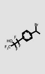 CC(Br)c1ccc(C(F)(F)C(O)(F)C(F)(F)F)cc1